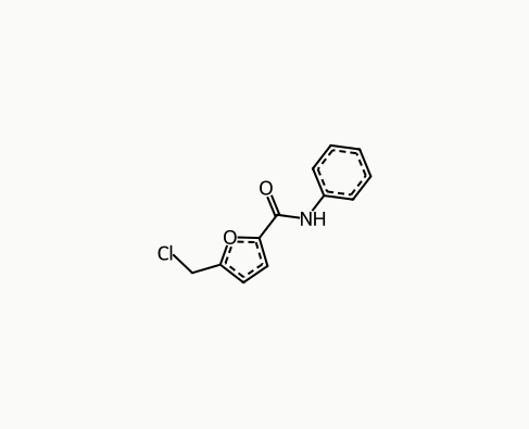 O=C(Nc1ccccc1)c1ccc(CCl)o1